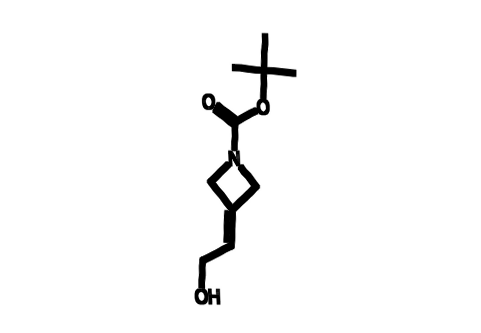 CC(C)(C)OC(=O)N1CC(=CCO)C1